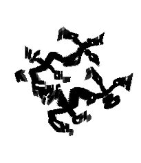 CCC(C)(C)COP(=O)(O)O.CCC(C)(C)COP(=O)(O)O.[Ni]